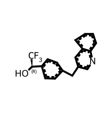 O[C@H](c1ccc(Cc2cnc3ccccc3c2)cc1)C(F)(F)F